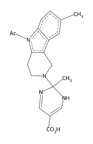 CC(=O)n1c2c(c3cc(C)ccc31)CN(C1(C)N=CC(C(=O)O)=CN1)CC2